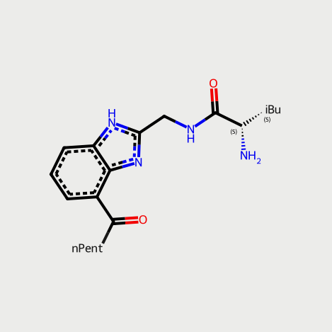 CCCCCC(=O)c1cccc2[nH]c(CNC(=O)[C@@H](N)[C@@H](C)CC)nc12